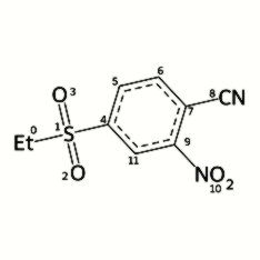 CCS(=O)(=O)c1ccc(C#N)c([N+](=O)[O-])c1